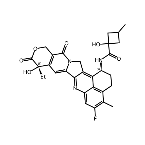 CC[C@@]1(O)C(=O)OCc2c1cc1n(c2=O)Cc2c-1nc1cc(F)c(C)c3c1c2[C@@H](NC(=O)C1(O)CC(C)C1)CC3